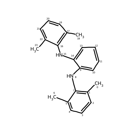 Cc1cccc(C)c1Nc1ccccc1Nc1c(C)cccc1C